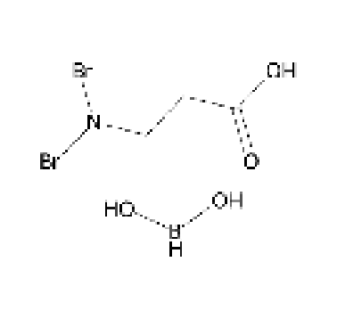 O=C(O)CCN(Br)Br.OBO